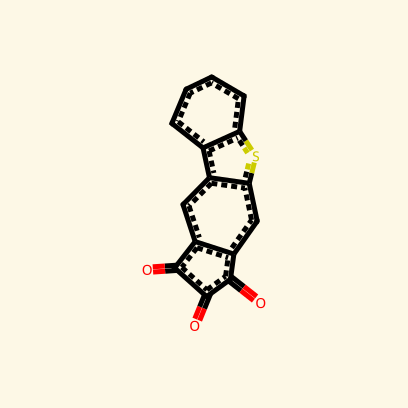 O=c1c(=O)c2cc3sc4ccccc4c3cc2c1=O